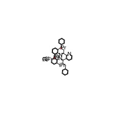 CC(C)c1cccc(C(C)C)c1N=C(CCc1ccccc1)c1cccnc1C(CCc1ccccc1)=Nc1c(C(C)C)cccc1C(C)C.[Cl-].[Cl-].[Fe+2]